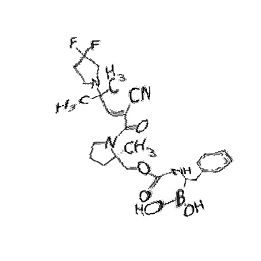 CC(C)(C=C(C#N)C(=O)N1CCC[C@]1(C)COC(=O)N[C@@H](Cc1ccccc1)B(O)O)N1CCC(F)(F)C1